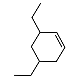 CCC1C=CCC(CC)C1